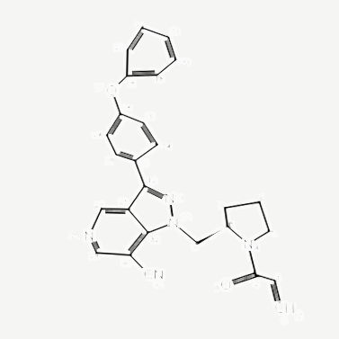 C=CC(=O)N1CCC[C@@H]1Cn1nc(-c2ccc(Oc3ccccc3)cc2)c2cncc(C#N)c21